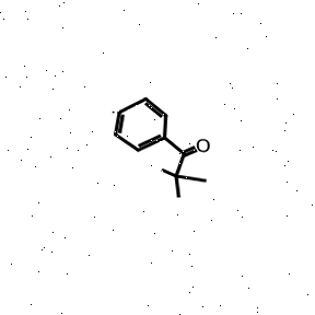 CC(C)(C)C(=O)c1cc[c]cc1